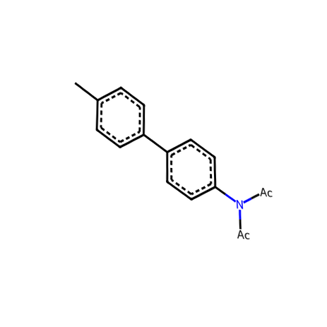 CC(=O)N(C(C)=O)c1ccc(-c2ccc(C)cc2)cc1